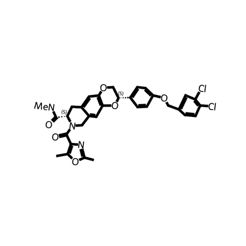 CNC(=O)[C@@H]1Cc2cc3c(cc2CN1C(=O)c1nc(C)oc1C)O[C@@H](c1ccc(OCc2ccc(Cl)c(Cl)c2)cc1)CO3